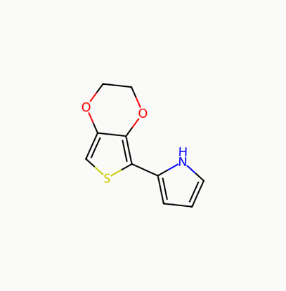 c1c[nH]c(-c2scc3c2OCCO3)c1